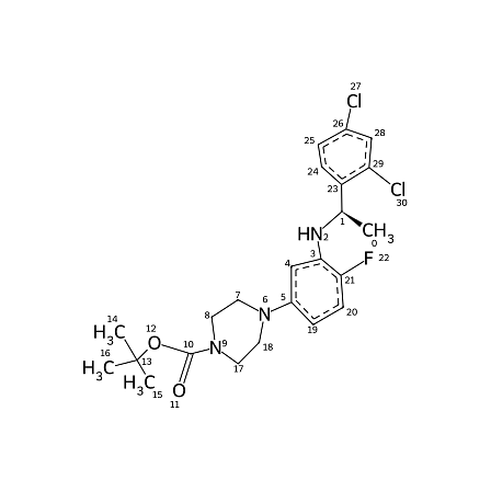 C[C@@H](Nc1cc(N2CCN(C(=O)OC(C)(C)C)CC2)ccc1F)c1ccc(Cl)cc1Cl